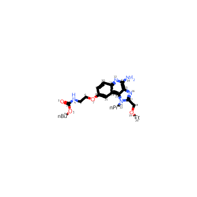 CCCCOC(=O)NCCOc1ccc2nc(N)c3nc(COCC)n(CCC)c3c2c1